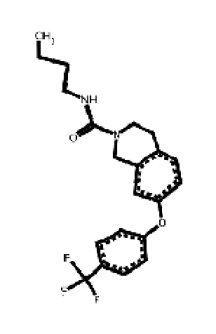 CCCCNC(=O)N1CCc2ccc(Oc3ccc(C(F)(F)F)cc3)cc2C1